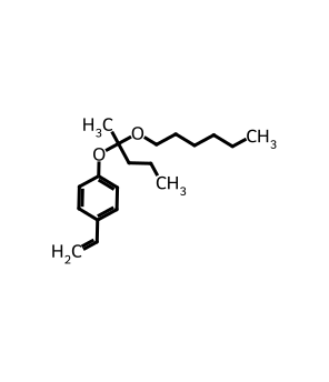 C=Cc1ccc(OC(C)(CCC)OCCCCCC)cc1